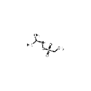 CCS(=O)(=O)ONC(C)C